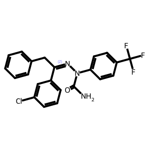 NC(=O)N(/N=C(/Cc1ccccc1)c1cccc(Cl)c1)c1ccc(C(F)(F)F)cc1